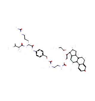 CCC(=O)O[C@]1(C(=O)COC(=O)N(C)CCN(C)C(=O)OCc2ccc(NC(=O)[C@H](CCCNC(N)=O)NC(=O)[C@@H](N)C(C)C)cc2)[C@@H](C)C[C@H]2[C@@H]3CCC4=CC(=O)C=C[C@]4(C)[C@@]3(Cl)[C@@H](O)C[C@@]21C